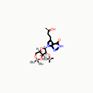 C[C@@H](O)CCc1cn([C@@H]2O[C@@H]3CO[Si](C(C)(C)C)(C(C)(C)C)O[C@H]3[C@H]2O[Si](C)(C)C(C)(C)C)c2nc[nH]c(=O)c12